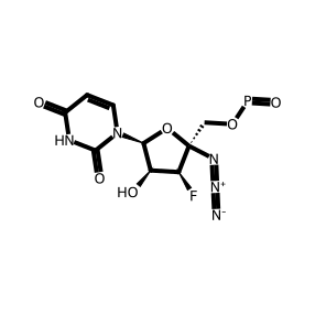 [N-]=[N+]=N[C@]1(COP=O)O[C@H](n2ccc(=O)[nH]c2=O)[C@H](O)[C@@H]1F